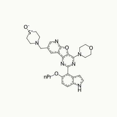 CCCOc1ccc2[nH]ccc2c1-c1nc(N2CCOCC2)c2oc3ncc(CN4CC[S+]([O-])CC4)cc3c2n1